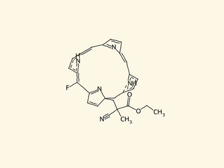 CCOC(=O)C(C)(C#N)CC12C=CC(=N1)C(F)=c1ccc([nH]1)=CC1=NC(=Cc3ccc([nH]3)C2)C=C1